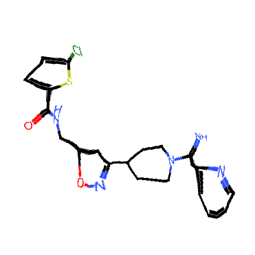 N=C(c1ccccn1)N1CCC(C2=NOC(CNC(=O)c3ccc(Cl)s3)C2)CC1